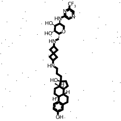 C[C@]12CC[C@@H]3c4ccc(O)cc4CC[C@H]3[C@@H]1CC[C@@]2(O)CCCNC1CC2(C1)CC(NC[C@H]1OC[C@H](Nc3cncc(C(F)(F)F)n3)[C@@H](O)[C@H]1O)C2